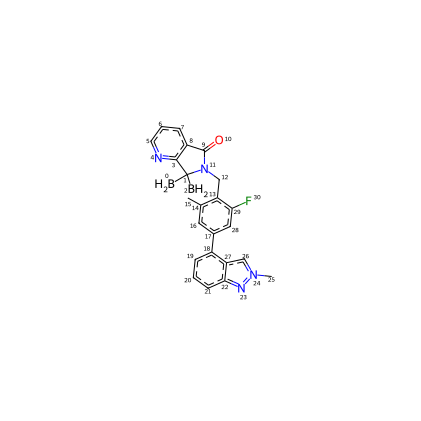 BC1(B)c2ncccc2C(=O)N1Cc1c(C)cc(-c2cccc3nn(C)cc23)cc1F